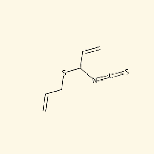 C=CCSC(C=C)N=C=S